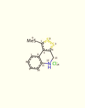 CSc1[s+]sc2c1-c1ccccc1NC2.[Cl-]